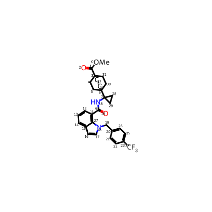 COC(=O)C12CCC(C3(NC(=O)c4cccc5ccn(Cc6ccc(C(F)(F)F)cc6)c45)CC3)(CC1)CC2